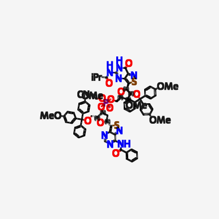 [C-]#[N+]CCOP(=O)(OC[C@H]1O[C@@H](c2snc3c(=O)[nH]c(NC(=O)C(C)C)nc23)[C@H](OC(c2ccccc2)(c2ccc(OC)cc2)c2ccc(OC)cc2)[C@@H]1OC)O[C@H]1C[C@H](c2snc3c(NC(=O)c4ccccc4)ncnc23)O[C@@H]1COC(c1ccccc1)(c1ccc(OC)cc1)c1ccc(OC)cc1